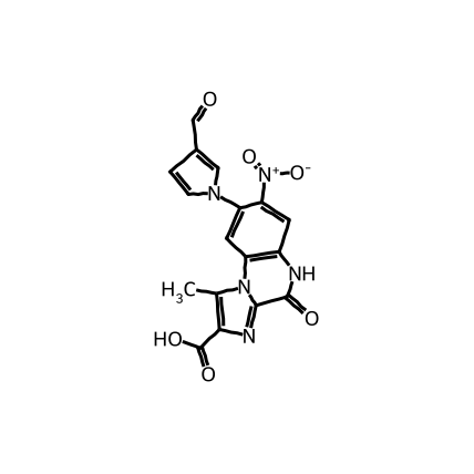 Cc1c(C(=O)O)nc2c(=O)[nH]c3cc([N+](=O)[O-])c(-n4ccc(C=O)c4)cc3n12